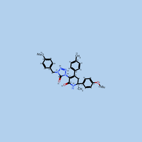 CCCCOc1ccc([C@]2(C)CC(c3ccc(C)cc3)=C(n3nnn(Cc4ccc(OC)cc4)c3=O)C(=O)N2)cc1